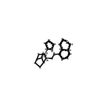 CN1C2CCC1[C@H](COc1cccc3ccccc13)[C@@H](c1ccco1)C2